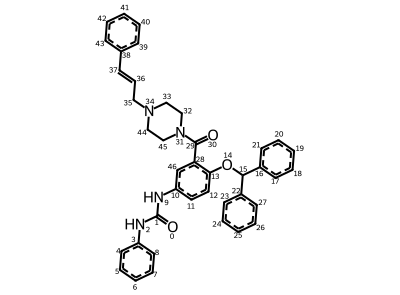 O=C(Nc1ccccc1)Nc1ccc(OC(c2ccccc2)c2ccccc2)c(C(=O)N2CCN(C/C=C/c3ccccc3)CC2)c1